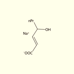 CCCC(O)C=CC(=O)[O-].[Na+]